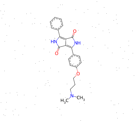 CN(C)CCCOc1ccc(C2=C3C(=O)NC(c4ccccc4)=C3C(=O)N2)cc1